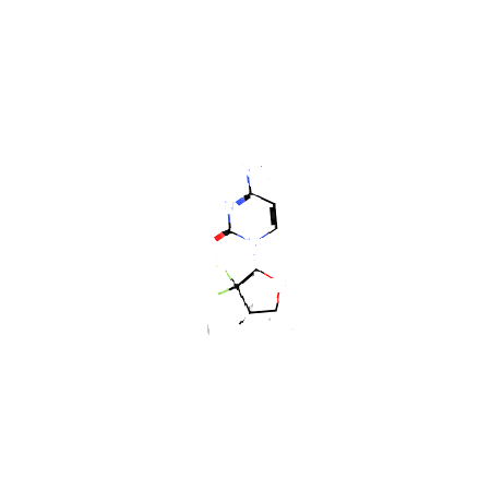 CC[C@H]1O[C@@H](n2ccc(N)nc2=O)C(F)(F)[C@@H]1C